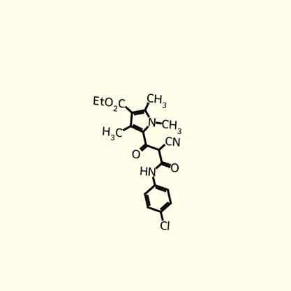 CCOC(=O)c1c(C)c(C(=O)C(C#N)C(=O)Nc2ccc(Cl)cc2)n(C)c1C